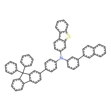 c1ccc(C2(c3ccccc3)c3ccccc3-c3ccc(-c4ccc(N(c5cccc(-c6ccc7ccccc7c6)c5)c5ccc6c(c5)sc5ccccc56)cc4)cc32)cc1